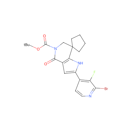 CC(C)(C)OC(=O)N1CC2(CCCC2)c2[nH]c(-c3ccnc(Br)c3F)cc2C1=O